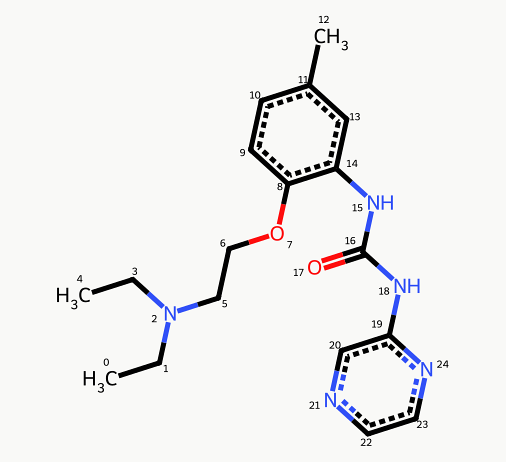 CCN(CC)CCOc1ccc(C)cc1NC(=O)Nc1cnccn1